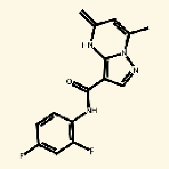 C=C1C=C(C)n2ncc(C(=O)Nc3ccc(F)cc3F)c2N1